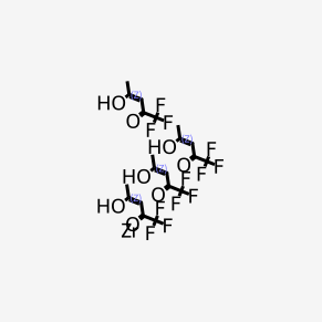 C/C(O)=C/C(=O)C(F)(F)F.C/C(O)=C/C(=O)C(F)(F)F.C/C(O)=C/C(=O)C(F)(F)F.C/C(O)=C/C(=O)C(F)(F)F.[Zr]